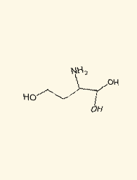 NC(CCO)C(O)O